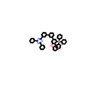 C1=CC([Si](c2ccccc2)(c2ccccc2)c2cc(-c3cccc(-c4cccc(-c5nc(-c6ccccc6)nc(-c6ccccc6)n5)c4)c3)cc3oc4ccccc4c23)=CCC1